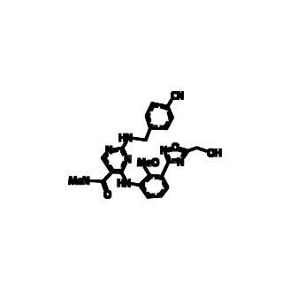 CNC(=O)c1cnc(NCc2ccc(C#N)cc2)nc1Nc1cccc(-c2noc(CO)n2)c1OC